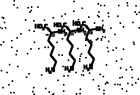 NCCCC[C@H](N)C(=O)O.NCCCC[C@H](N)C(=O)O.NCCCC[C@H](N)C(=O)O